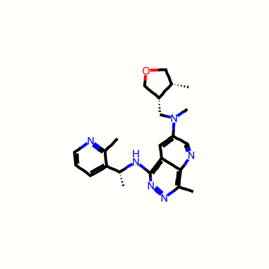 Cc1ncccc1[C@@H](C)Nc1nnc(C)c2ncc(N(C)C[C@@H]3COC[C@@H]3C)cc12